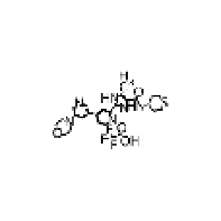 Cc1[nH]c(-c2cc(-c3cncc(N4CCOCC4)c3)ccn2)nc1C(=O)NC1CCSCC1.O=C(O)C(F)(F)F